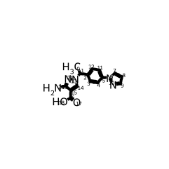 CC(c1ccc(-n2cccn2)cc1)n1cc(C(=O)O)c(N)n1